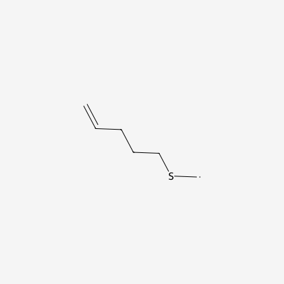 [CH2]SCCCC=C